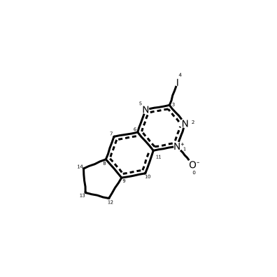 [O-][n+]1nc(I)nc2cc3c(cc21)CCC3